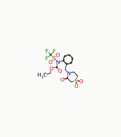 CCOC(=O)N(c1ccccc1CN1CCS(=O)(=O)CC1=O)S(=O)(=O)C(F)(F)F